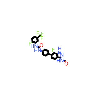 O=CNc1n[nH]c2c(F)c(-c3ccc(NC(=O)Nc4cc(C(F)(F)F)ccc4F)cc3)ccc12